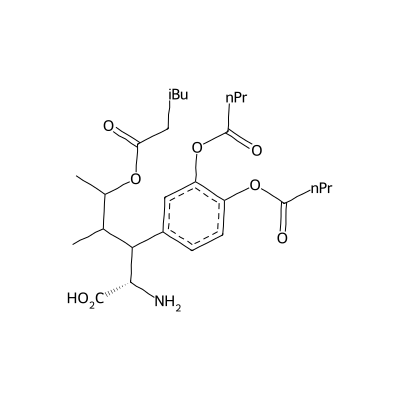 CCCC(=O)Oc1ccc(C(C(C)C(C)OC(=O)CC(C)CC)[C@H](N)C(=O)O)cc1OC(=O)CCC